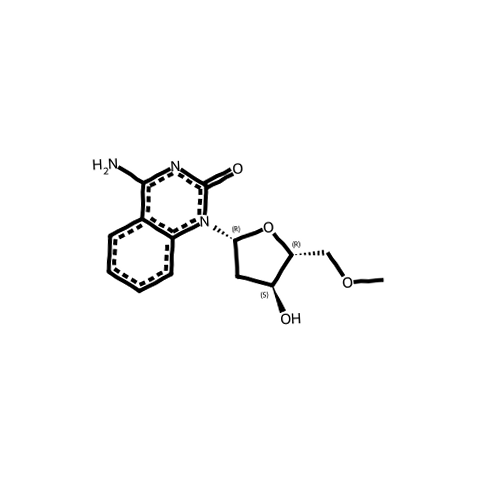 COC[C@H]1O[C@@H](n2c(=O)nc(N)c3ccccc32)C[C@@H]1O